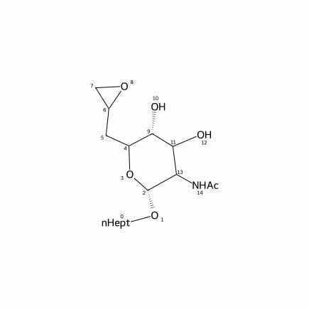 CCCCCCCO[C@@H]1OC(CC2CO2)[C@H](O)C(O)C1NC(C)=O